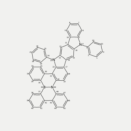 c1ccc(-n2c3ccccc3c3cc4c(cc32)c2ccc3c(c2n4-c2ccccc2)-c2ccccc2B2c4ccccc4-c4ccccc4N23)cc1